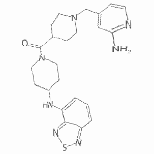 Nc1cc(CN2CCC(C(=O)N3CCC(Nc4cccc5nsnc45)CC3)CC2)ccn1